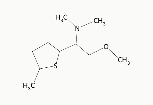 COCC(C1CCC(C)S1)N(C)C